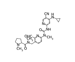 CN(Cc1ccc(N(C)C(=O)Nc2cc(NC3CC3)c(C#N)cn2)nc1C=O)C(=O)C1CCCN1C